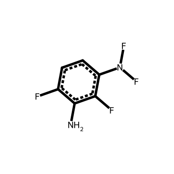 Nc1c(F)ccc(N(F)F)c1F